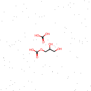 O=C(O)O.O=C(O)OCC(O)CO